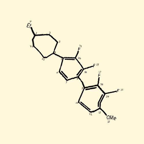 CCC1CCC(c2ccc(-c3ccc(OC)c(F)c3F)c(F)c2F)CC1